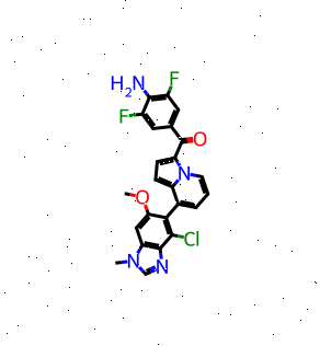 COc1cc2c(ncn2C)c(Cl)c1-c1cccn2c(C(=O)c3cc(F)c(N)c(F)c3)ccc12